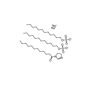 CCCCCCCCCCCC(=O)N1C=NCC1.CCCCCCCCCCCCOS(=O)(=O)[O-].CCCCCCCCCCCCOS(=O)(=O)[O-].[Na+].[Na+]